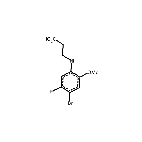 COc1cc(Br)c(F)cc1NCCC(=O)O